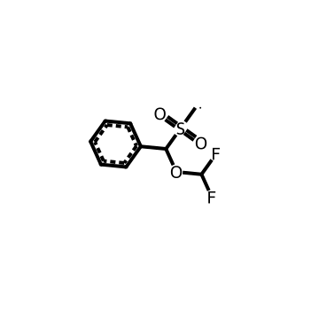 [CH2]S(=O)(=O)C(OC(F)F)c1ccccc1